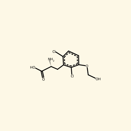 N[C@H](Cc1c(Cl)ccc(OCO)c1Cl)C(=O)O